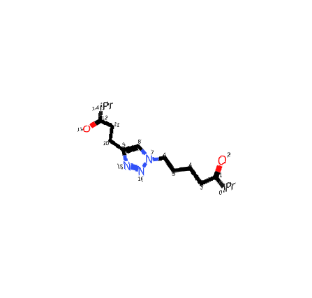 CC(C)C(=O)CCCCn1cc(CCC(=O)C(C)C)nn1